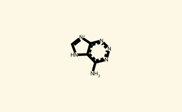 Nc1nnnc2c1NC=[N+]2